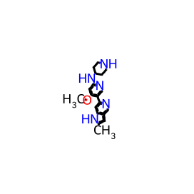 COc1cc(NC2CCNCC2)ncc1-c1cc2[nH]c(C)cc2cn1